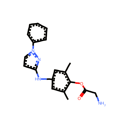 Cc1cc(Nc2ccn(-c3ccccc3)n2)cc(C)c1OC(=O)CN